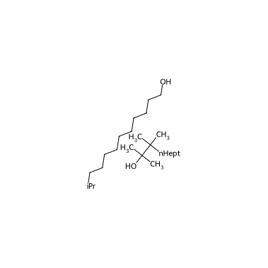 CC(C)CCCCCCCCCCO.CCCCCCCC(C)(C)C(C)(C)O